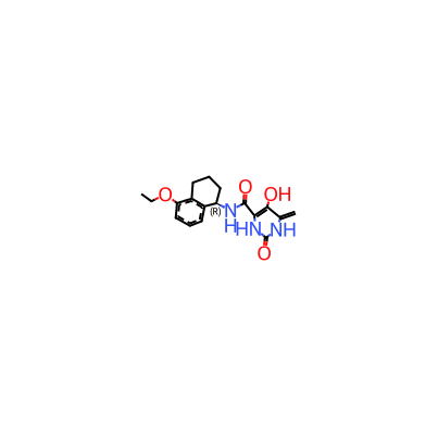 C=C1NC(=O)NC(C(=O)N[C@@H]2CCCc3c(OCC)cccc32)=C1O